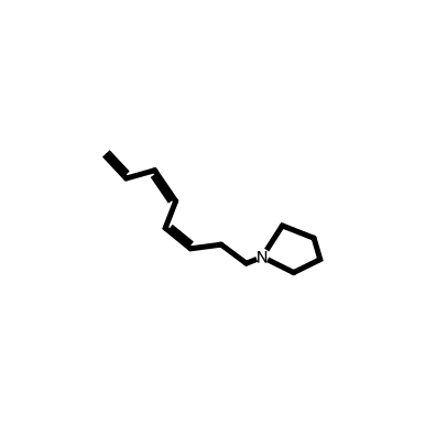 C=C/C=C\C=C/CCN1CCCC1